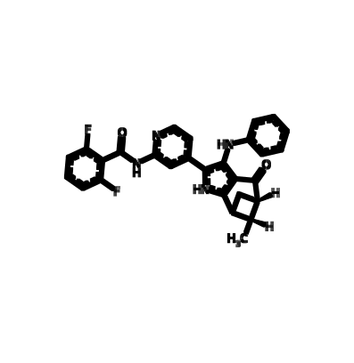 C[C@@H]1C2C[C@@H]1C(=O)c1c2[nH]c(-c2ccnc(NC(=O)c3c(F)cccc3F)c2)c1Nc1ccccc1